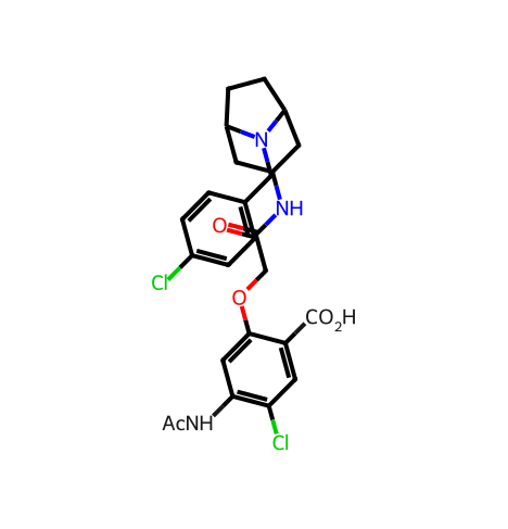 CC(=O)Nc1cc(OCC(=O)NC2CC3CCC(C2)N3Cc2ccc(Cl)cc2)c(C(=O)O)cc1Cl